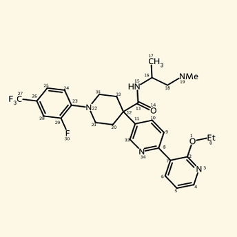 CCOc1ncccc1-c1ccc(C2(C(=O)NC(C)CNC)CCN(c3ccc(C(F)(F)F)cc3F)CC2)cn1